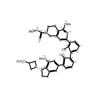 CCOC(=O)C1CN([C@H]2CCc3cc(-c4cccc(-c5cccc(-c6cc7c(c(OC)n6)CCN(C(=O)OC(C)(C)C)C7)c5Cl)c4Cl)cc(OC)c32)C1